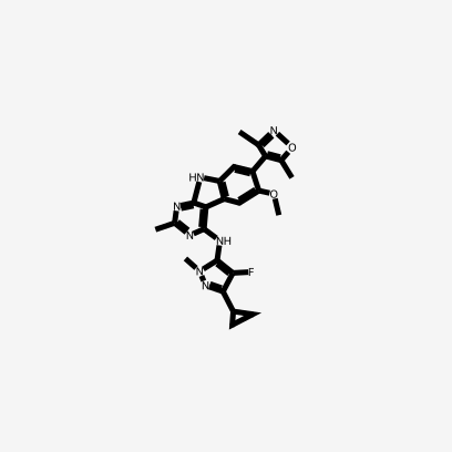 COc1cc2c(cc1-c1c(C)noc1C)[nH]c1nc(C)nc(Nc3c(F)c(C4CC4)nn3C)c12